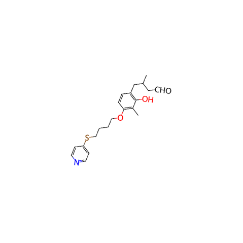 Cc1c(OCCCCSc2ccncc2)ccc(CC(C)CC=O)c1O